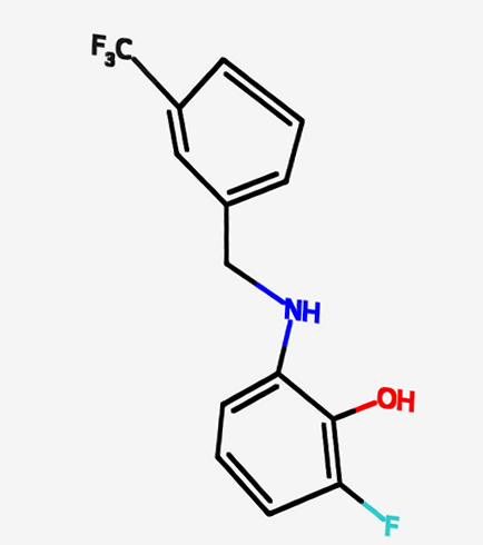 Oc1c(F)cccc1NCc1cccc(C(F)(F)F)c1